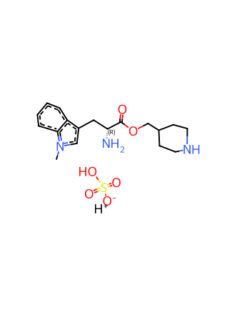 Cn1cc(C[C@@H](N)C(=O)OCC2CCNCC2)c2ccccc21.O=S(=O)([O-])O.[H+]